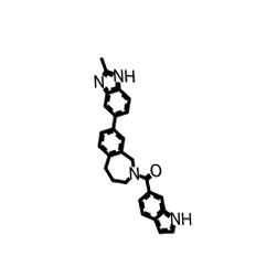 Cc1nc2cc(-c3ccc4c(c3)CN(C(=O)c3ccc5cc[nH]c5c3)CCC4)ccc2[nH]1